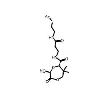 CC(=O)SCCNC(=O)CCNC(=O)[C@@H]1OC(O)C(=O)OCC1(C)C